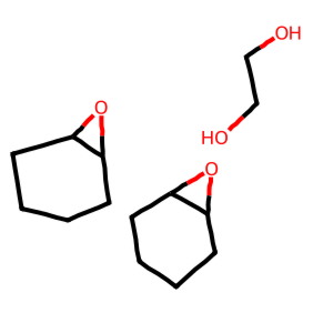 C1CCC2OC2C1.C1CCC2OC2C1.OCCO